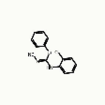 N#C/N=C(/Nc1ccccc1Cl)Oc1ccccc1